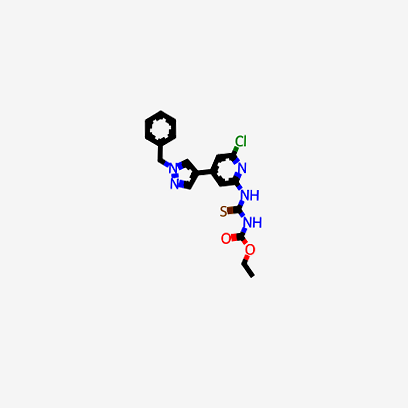 CCOC(=O)NC(=S)Nc1cc(-c2cnn(Cc3ccccc3)c2)cc(Cl)n1